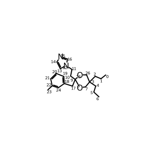 CCCC1(CCC)COC(CCn2ccnc2)(Cc2cccc(C)c2)OC1